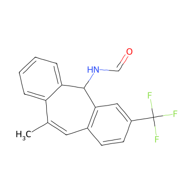 CC1=Cc2ccc(C(F)(F)F)cc2C(NC=O)c2ccccc21